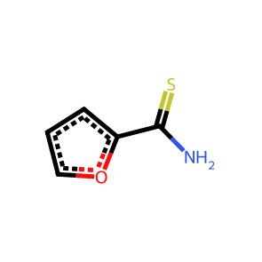 NC(=S)c1ccco1